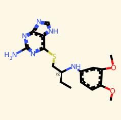 CC[C@@H](CSc1nc(N)nc2nc[nH]c12)Nc1ccc(OC)c(OC)c1